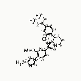 COc1nc(-c2nc3n(n2)CCC[C@@H]3c2ccc(N(CC(F)(F)F)CC(F)(F)F)cc2Cl)ccc1-n1cnc(C)c1